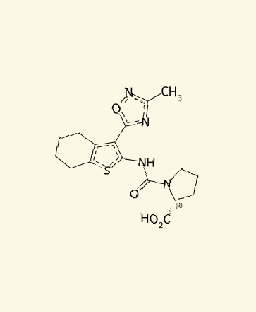 Cc1noc(-c2c(NC(=O)N3CCC[C@@H]3C(=O)O)sc3c2CCCC3)n1